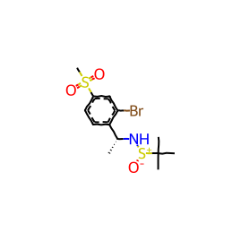 C[C@@H](N[S@@+]([O-])C(C)(C)C)c1ccc(S(C)(=O)=O)cc1Br